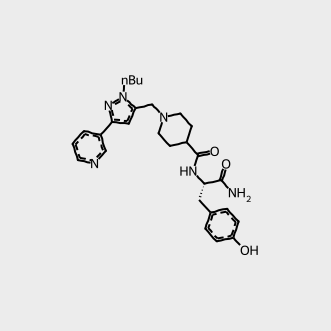 CCCCn1nc(-c2cccnc2)cc1CN1CCC(C(=O)N[C@@H](Cc2ccc(O)cc2)C(N)=O)CC1